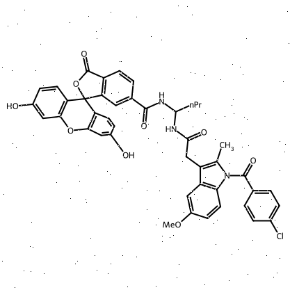 CCCC(NC(=O)Cc1c(C)n(C(=O)c2ccc(Cl)cc2)c2ccc(OC)cc12)NC(=O)c1ccc2c(c1)C1(OC2=O)c2ccc(O)cc2Oc2cc(O)ccc21